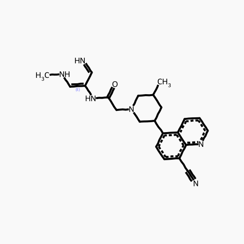 CN/C=C(\C=N)NC(=O)CN1CC(C)CC(c2ccc(C#N)c3ncccc23)C1